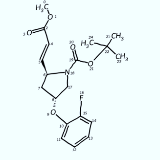 COC(=O)/C=C/[C@@H]1C[C@@H](Oc2ccccc2F)CN1C(=O)OC(C)(C)C